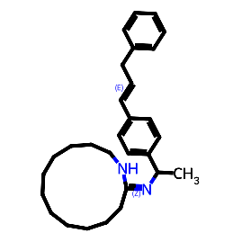 CC(/N=C1/CCCCCCCCCCCN1)c1ccc(/C=C/Cc2ccccc2)cc1